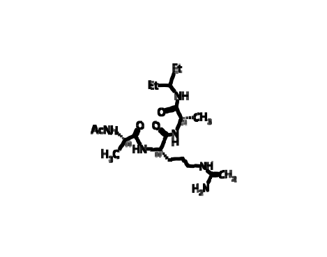 C=C(N)NCCC[C@H](NC(=O)[C@H](C)NC(C)=O)C(=O)N[C@@H](C)C(=O)NC(CC)CC